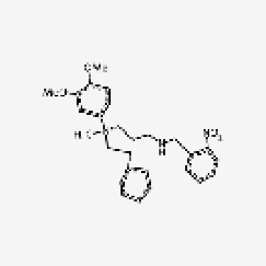 COc1ccc([N+](C)(CCCNCc2ccccc2[N+](=O)[O-])CCc2ccccc2)cc1OC